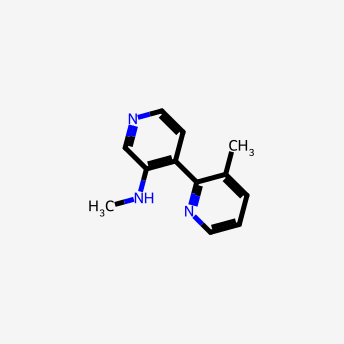 CNc1cnccc1-c1ncccc1C